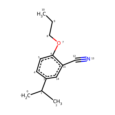 [CH2]C(C)c1ccc(OCCC)c(C#N)c1